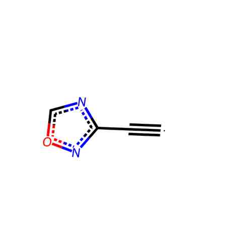 [C]#Cc1ncon1